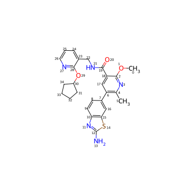 COc1nc(C)c(-c2ccc3nc(N)sc3c2)cc1C(=O)NCc1cccnc1OC1CCCC1